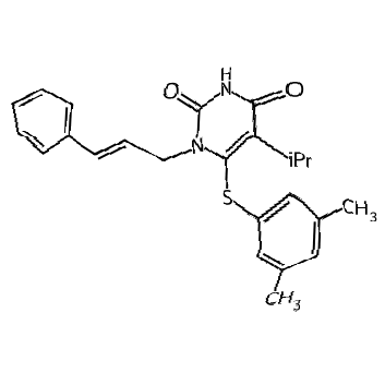 Cc1cc(C)cc(Sc2c(C(C)C)c(=O)[nH]c(=O)n2C/C=C/c2ccccc2)c1